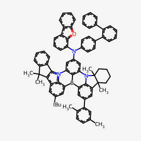 Cc1ccc(C)c(-c2cc3c4c(c2)C2(C)CCCCC2(C)N4c2cc(N(c4ccc(-c5ccccc5-c5ccccc5)cc4)c4cccc5c4oc4ccccc45)cc4c2B3c2cc(C(C)(C)C)cc3c5c(n-4c23)-c2ccccc2C5(C)C)c1